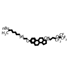 CCCCC(C)CCCCCSSCCOc1ccc2c(c1)CCC1C2CCC2(C)C(OCCCOC(C(F)(F)F)(C(F)(F)F)C(F)(F)F)CCC12